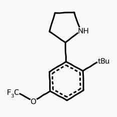 CC(C)(C)c1ccc(OC(F)(F)F)cc1C1CCCN1